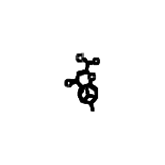 CC1C2C=c3oc(C(=O)Cl)cc(=O)c3=CC1C2C